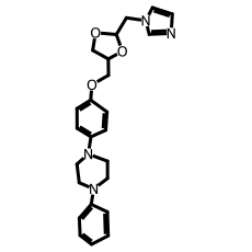 c1ccc(N2CCN(c3ccc(OCC4COC(Cn5ccnc5)O4)cc3)CC2)cc1